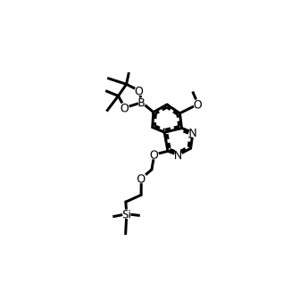 COc1cc(B2OC(C)(C)C(C)(C)O2)cc2c(OCOCC[Si](C)(C)C)ncnc12